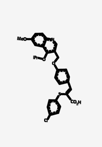 COc1ccc2ncc(COc3ccc(C=C(Sc4ccc(Cl)cc4)C(=O)O)cc3)c(OC(C)C)c2c1